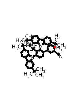 CC(C)(C)c1ccc2c3ccc(C(C)(C)C)cc3n(-c3ccc(-c4cccc(C#N)c4)c(-n4c5cc(C(C)(C)C)ccc5c5ccc(C(C)(C)C)cc54)c3C(F)(F)F)c2c1